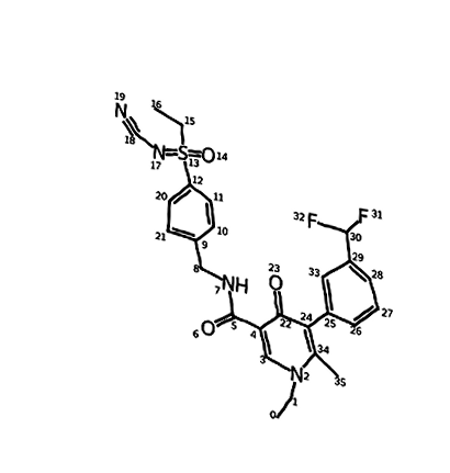 CCn1cc(C(=O)NCc2ccc(S(=O)(CC)=NC#N)cc2)c(=O)c(-c2cccc(C(F)F)c2)c1C